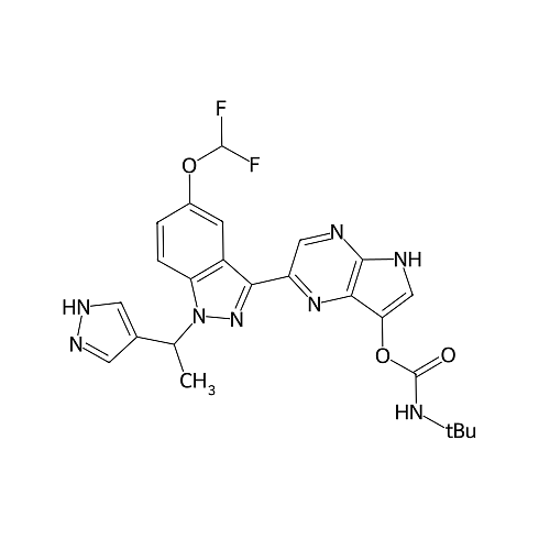 CC(c1cn[nH]c1)n1nc(-c2cnc3[nH]cc(OC(=O)NC(C)(C)C)c3n2)c2cc(OC(F)F)ccc21